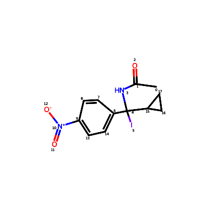 CC(=O)NC(I)(c1ccc([N+](=O)[O-])cc1)C1CC1